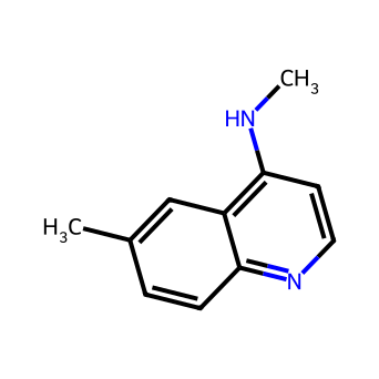 CNc1ccnc2ccc(C)cc12